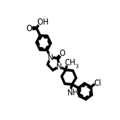 CC1(N2CCN(c3ccc(C(=O)O)cc3)C2=O)CCC(N)(c2cccc(Cl)c2)CC1